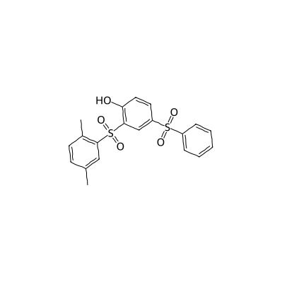 Cc1ccc(C)c(S(=O)(=O)c2cc(S(=O)(=O)c3ccccc3)ccc2O)c1